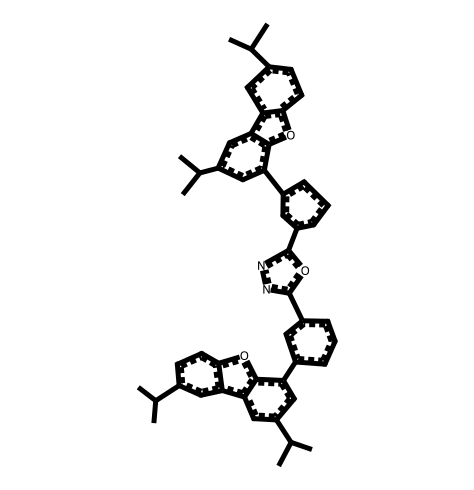 CC(C)c1ccc2oc3c(-c4cccc(-c5nnc(-c6cccc(-c7cc(C(C)C)cc8c7oc7ccc(C(C)C)cc78)c6)o5)c4)cc(C(C)C)cc3c2c1